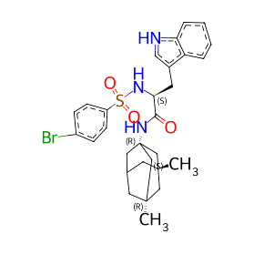 C[C@]12CC3C[C@](C)(C1)C[C@@](NC(=O)[C@H](Cc1c[nH]c4ccccc14)NS(=O)(=O)c1ccc(Br)cc1)(C3)C2